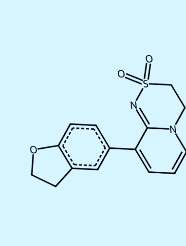 O=S1(=O)CCN2C=CC=C(c3ccc4c(c3)CCO4)C2=N1